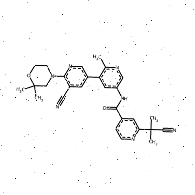 Cc1ncc(NC(=O)c2ccnc(C(C)(C)C#N)c2)cc1-c1cnc(N2CCOC(C)(C)C2)c(C#N)c1